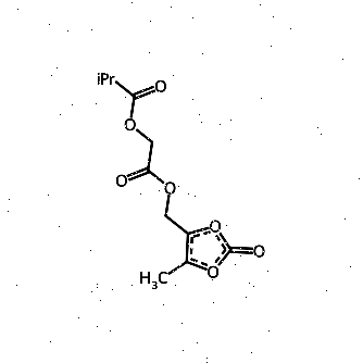 Cc1oc(=O)oc1COC(=O)COC(=O)C(C)C